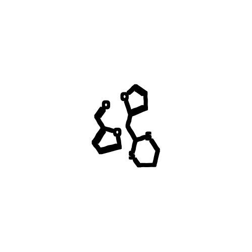 O=Cc1ccco1.c1coc(CC2SCCCS2)c1